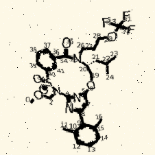 COCN1c2nc(cc(-c3c(C)cccc3C)n2)OC[C@@H](CC(C)C)N(CCCOC(F)(F)F)C(=O)c2cccc(c2)S1(=O)=O